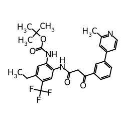 CCc1cc(NC(=O)OC(C)(C)C)c(NC(=O)CC(=O)c2cccc(-c3ccnc(C)c3)c2)cc1C(F)(F)F